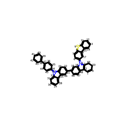 C1=Cc2c(n(-c3ccc4sc5ccccc5c4c3)c3cc(-c4ccc5c(c4)c4ccccc4n5-c4ccc(-c5ccccc5)cc4)ccc23)CC1